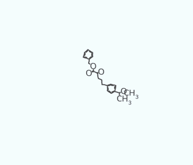 COC(C)c1ccc(CCCC(=O)C(=O)OCc2ccccc2)cc1